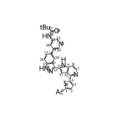 CC(=O)c1ccc(-c2nccc3[nH]c(-c4n[nH]c5ccc(-c6cncc(NC(=O)C(C)(C)C)c6)cc45)cc23)s1